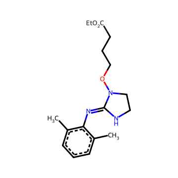 CCOC(=O)CCCON1CCN/C1=N\c1c(C)cccc1C